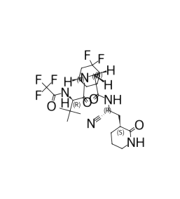 CC(C)(C)[C@@H](NC(=O)C(F)(F)F)C(=O)N1[C@@H]2CC[C@H]([C@@H]1C(=O)N[C@@H](C#N)C[C@@H]1CCCNC1=O)C(F)(F)C2